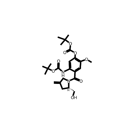 C=C1C[C@@H](CO)N(C(=O)c2cc(OC)c(OC(=O)OC(C)(C)C)cc2NC(=O)OC(C)(C)C)C1